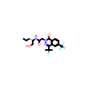 CCC[C@@H](CO)NC(=O)Cn1nc(C(C)(C)F)c2cc(C(F)(F)F)ccc2c1=O